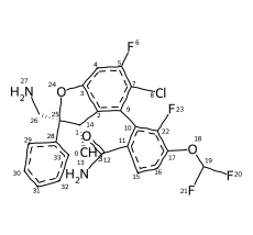 C[C@H]1c2c(cc(F)c(Cl)c2-c2c(C(N)=O)ccc(OC(F)F)c2F)O[C@]1(CN)c1ccccc1